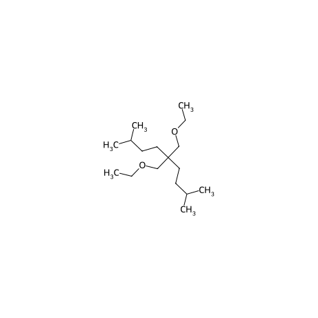 CCOCC(CCC(C)C)(CCC(C)C)COCC